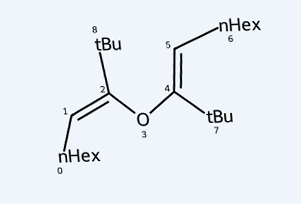 CCCCCCC=C(OC(=CCCCCCC)C(C)(C)C)C(C)(C)C